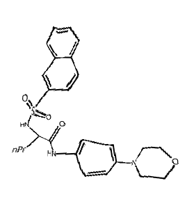 CCCC(NS(=O)(=O)c1ccc2ccccc2c1)C(=O)Nc1ccc(N2CCOCC2)cc1